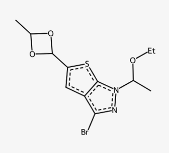 CCOC(C)n1nc(Br)c2cc(C3OC(C)O3)sc21